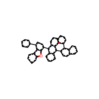 c1ccc(-c2c(-c3c4ccccc4c(-c4ccc(-c5ccccc5)c5c4oc4ccccc45)c4ccccc34)ccc3ccccc23)cc1